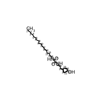 CCCCCCCCCCCCCCCCCCCNC(=O)C(=O)NCCCc1ccc(O)cc1